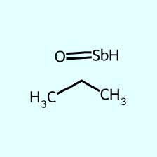 CCC.[O]=[SbH]